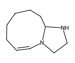 C1=CN2CCNC2CCCCC1